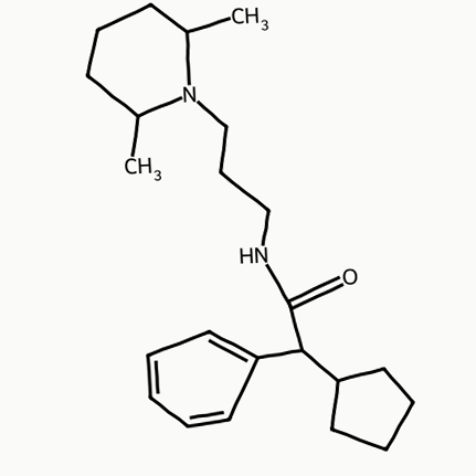 CC1CCCC(C)N1CCCNC(=O)C(c1ccccc1)C1CCCC1